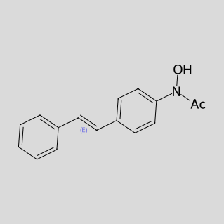 CC(=O)N(O)c1ccc(/C=C/c2ccccc2)cc1